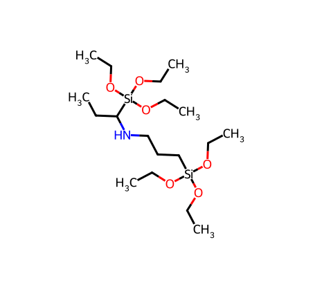 CCO[Si](CCCNC(CC)[Si](OCC)(OCC)OCC)(OCC)OCC